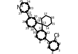 Clc1ccccc1-c1ccc2c(c1)C1(CCCCC1)c1cc(-c3cccnc3)ccc1-2